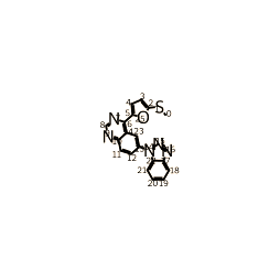 CSc1ccc(-c2ncnc3ccc(-n4nnc5ccccc54)cc23)o1